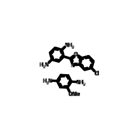 COc1cc(N)ccc1N.Nc1ccc(N)c(-c2nc3cc(Cl)ccc3o2)c1